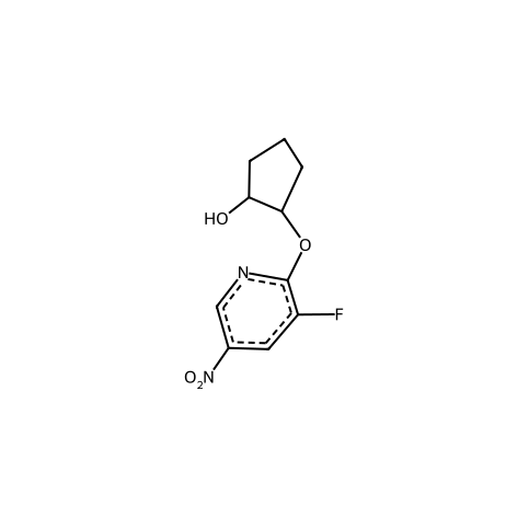 O=[N+]([O-])c1cnc(OC2CCCC2O)c(F)c1